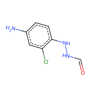 Nc1ccc(NNC=O)c(Cl)c1